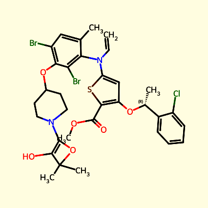 C=CN(c1cc(O[C@H](C)c2ccccc2Cl)c(C(=O)OC)s1)c1c(C)cc(Br)c(OC2CCN(C3=C(O)C(C)(C)O3)CC2)c1Br